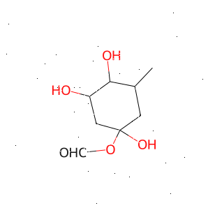 CC1CC(O)(OC=O)CC(O)C1O